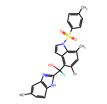 CCc1cc(C)c2c(ccn2S(=O)(=O)c2ccc(C)cc2)c1C(O)(F)c1nc2cc(C#N)ccc2[nH]1